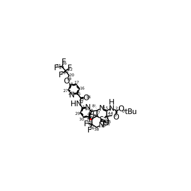 CC(C)(C)OC(=O)NC1=N[C@](C)(c2nc(NC(=O)c3ccc(OCC(F)(F)C(F)F)cn3)ccc2F)[C@H]2CC(F)(F)CN=[S@]2(=O)C1(C)C